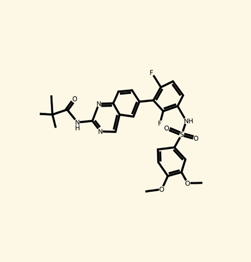 COc1ccc(S(=O)(=O)Nc2ccc(F)c(-c3ccc4nc(NC(=O)C(C)(C)C)ncc4c3)c2F)cc1OC